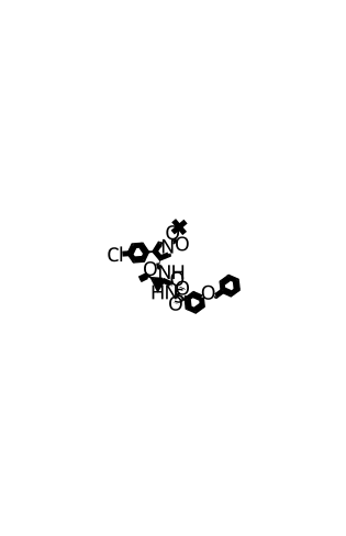 C=C[C@@H]1C[C@]1(NC(=O)[C@H]1CN(C(=O)OC(C)(C)C)C[C@@H]1c1ccc(Cl)cc1)C(=O)NS(=O)(=O)c1cccc(OCc2ccccc2)c1